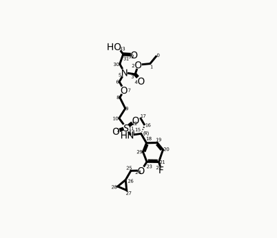 CCOC(=O)N(COCCCS(=O)(=O)N[C@H](CC)c1ccc(F)c(OCC2CC2)c1)CC(=O)O